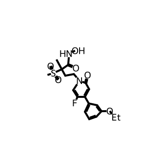 CCOc1cccc(-c2cc(=O)n(CCC(C)(C(=O)NO)S(C)(=O)=O)cc2F)c1